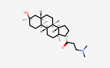 CN(C)CCC(=O)[C@H]1CC[C@H]2[C@@H]3CC[C@H]4C[C@](C)(O)CC[C@]4(C)[C@H]3CC[C@]12C